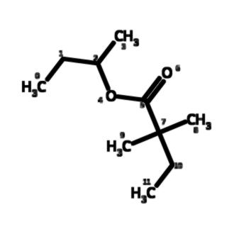 CCC(C)OC(=O)C(C)(C)CC